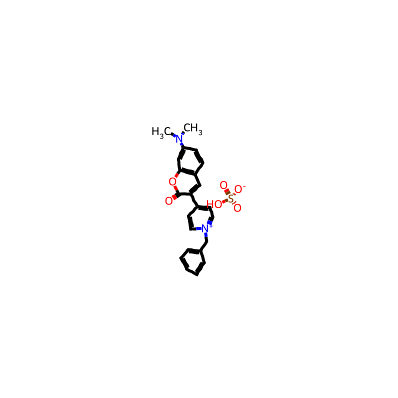 CN(C)c1ccc2cc(-c3cc[n+](Cc4ccccc4)cc3)c(=O)oc2c1.O=S(=O)([O-])O